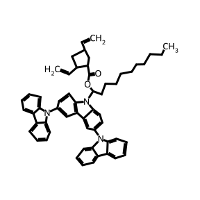 C=CC1CC(C=C)C(C(=O)OC(CCCCCCCCCC)n2c3ccc(-n4c5ccccc5c5ccccc54)cc3c3cc(-n4c5ccccc5c5ccccc54)ccc32)C1